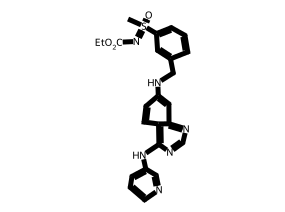 CCOC(=O)N=S(C)(=O)c1cccc(CNc2ccc3c(Nc4cccnc4)ncnc3c2)c1